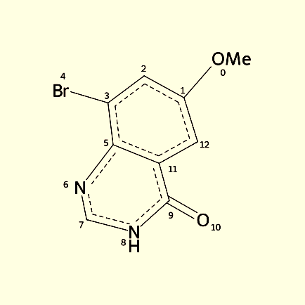 COc1cc(Br)c2nc[nH]c(=O)c2c1